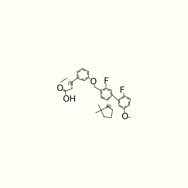 CC[C@@H](CC(=O)O)c1cccc(OCc2cc([C@@H]3CCCC3(C)C)c(-c3cc(OC)ccc3F)cc2F)c1